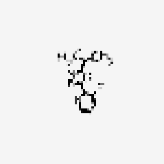 CC(C)c1nnc(-c2ncccc2F)o1